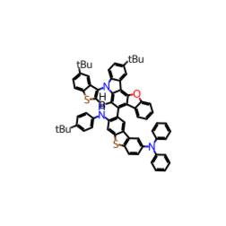 CC(C)(C)c1ccc(Nc2cc3sc4ccc(N(c5ccccc5)c5ccccc5)cc4c3cc2-c2c3c4c(c5cc(C(C)(C)C)ccc5n4-c4c(sc5ccc(C(C)(C)C)cc45)B3)c3oc4ccccc4c23)cc1